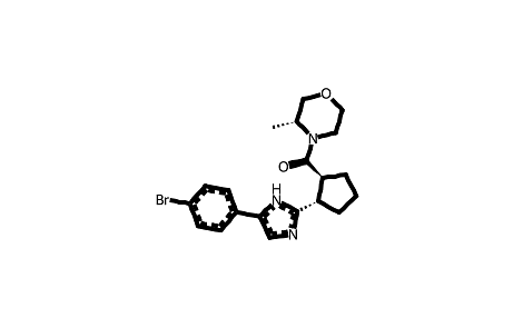 C[C@@H]1COCCN1C(=O)[C@H]1CCC[C@@H]1c1ncc(-c2ccc(Br)cc2)[nH]1